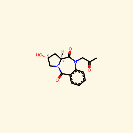 CC(=O)CN1C(=O)[C@@H]2C[C@@H](O)CN2C(=O)c2ccccc21